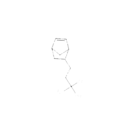 OC(CCC1CC2C=CC1C2)(C(F)(F)F)C(F)(F)F